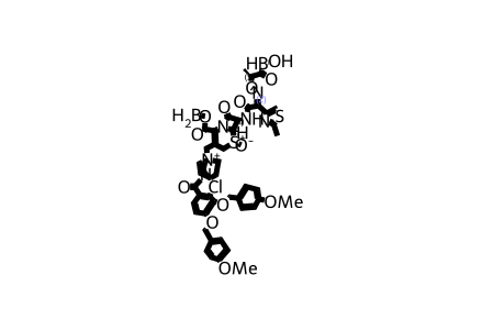 BOC(=O)C1=C(C[N+]23CCC(CC2)N(C(=O)c2ccc(OCc4ccc(OC)cc4)c(OCc4ccc(OC)cc4)c2Cl)CC3)C[S+]([O-])[C@@H]2[C@H](NC(=O)/C(=N\O[C@@H](C)C(=O)BO)c3csc(C)n3)C(=O)N12